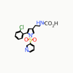 O=C(O)NCCc1cc(-c2ccccc2Cl)n(S(=O)(=O)c2cccnc2)c1